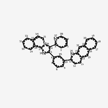 c1ccc(-c2c(-c3cccc(-c4ccc5cc6ccccc6cc5n4)c3)nc3c4ccccc4ccn23)nc1